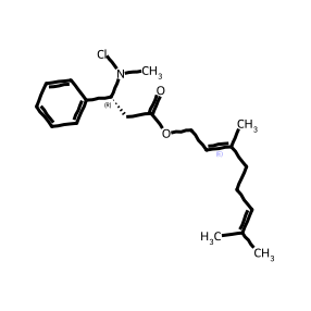 CC(C)=CCC/C(C)=C/COC(=O)C[C@H](c1ccccc1)N(C)Cl